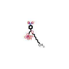 CCCCCCCCCOC(CCOP(=O)(O)O)c1ccc([N+](=O)[O-])cc1